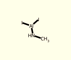 C[NH][Al]([I])[I]